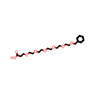 O=C(O)CCOCCOCCOCCOCCOCCOCc1ccccc1